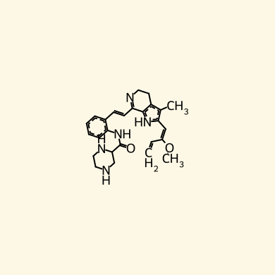 C=C/C(=C\c1[nH]c2c(c1C)CCN=C2/C=C/c1ccccc1NC(=O)C1CNCCN1)OC